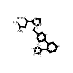 CCCCCC(CC(C)N)c1ncnn1Cc1ccc(-c2ccccc2-c2nnn[nH]2)cc1